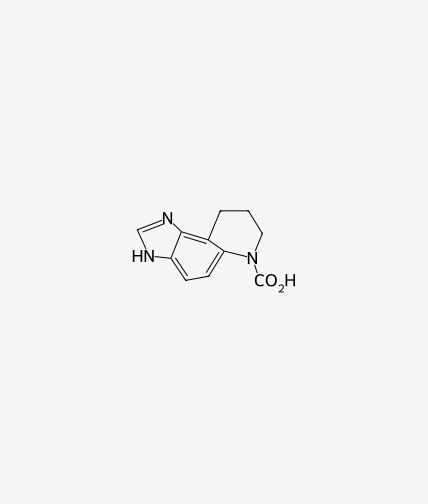 O=C(O)N1CCCc2c1ccc1[nH]cnc21